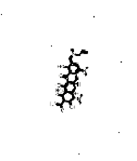 C=CCN(C)Cc1cc(N(C)C)c2c(c1O)C(=O)C1=C(O)[C@]3(O)C(=O)C(C(N)=O)C(O)[C@@H](N(C)C)[C@@H]3C[C@@H]1C2